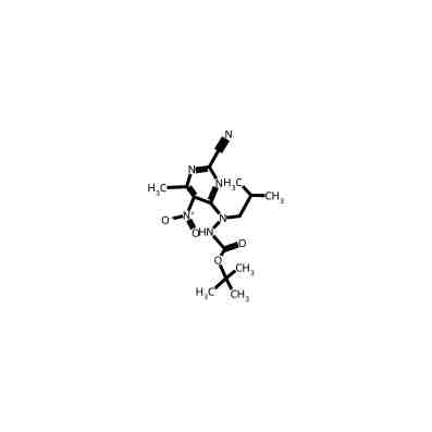 Cc1nc(C#N)nc(N(CC(C)C)NC(=O)OC(C)(C)C)c1[N+](=O)[O-]